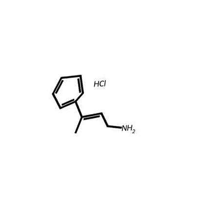 CC(=CCN)c1ccccc1.Cl